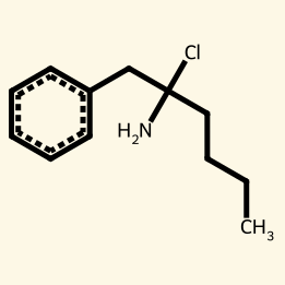 CCCCC(N)(Cl)Cc1ccccc1